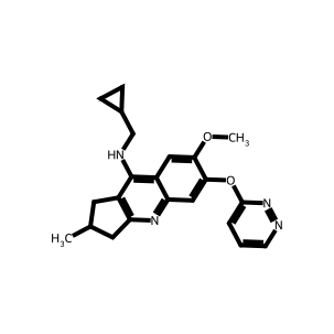 COc1cc2c(NCC3CC3)c3c(nc2cc1Oc1cccnn1)CC(C)C3